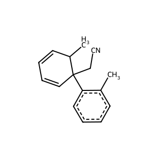 Cc1ccccc1C1(CC#N)C=CC=CC1C